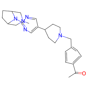 CC(=O)c1ccc(CN2CCC(c3cnc(N4C5CCC4CN(C)C5)nc3)CC2)cc1